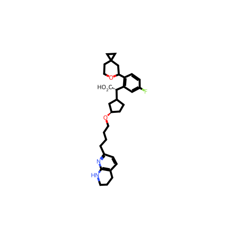 O=C(O)[C@H](c1cc(F)ccc1C1CC2(CCO1)CC2)C1CC[C@@H](OCCCCc2ccc3c(n2)NCCC3)C1